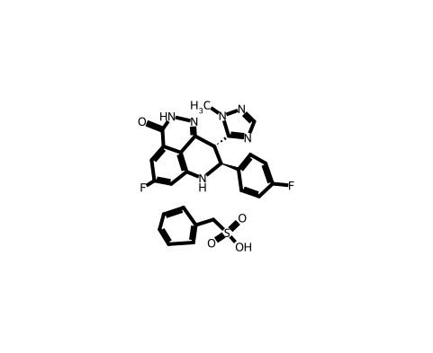 Cn1ncnc1[C@H]1c2n[nH]c(=O)c3cc(F)cc(c23)N[C@@H]1c1ccc(F)cc1.O=S(=O)(O)Cc1ccccc1